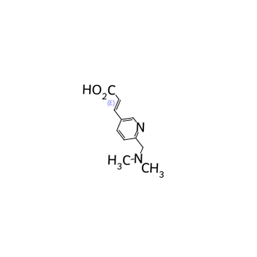 CN(C)Cc1ccc(/C=C/C(=O)O)cn1